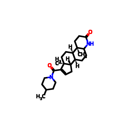 CC1CCN(C(=O)C2=CC[C@H]3[C@@H]4CCC5NC(=O)CC[C@]5(C)[C@@H]4CC[C@]23C)CC1